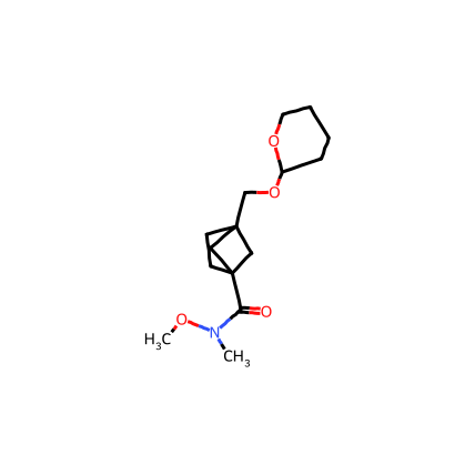 CON(C)C(=O)C12CCC(COC3CCCCO3)(C1)C2